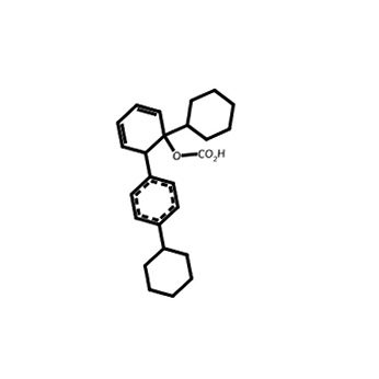 O=C(O)OC1(C2CCCCC2)C=CC=CC1c1ccc(C2CCCCC2)cc1